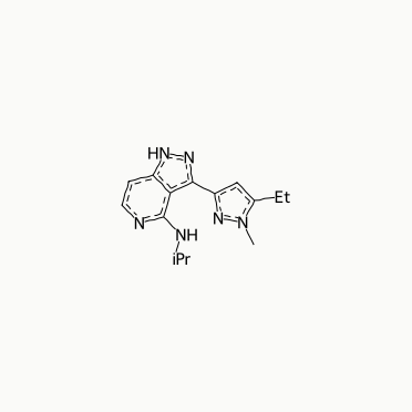 CCc1cc(-c2n[nH]c3ccnc(NC(C)C)c23)nn1C